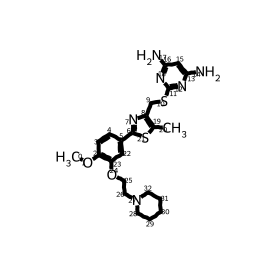 COc1ccc(-c2nc(CSc3nc(N)cc(N)n3)c(C)s2)cc1OCCN1CCCCC1